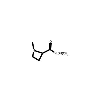 CN(O)C(=O)C1CCN1C